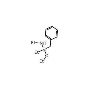 CCN[Si](CC)(Cc1ccccc1)OCC